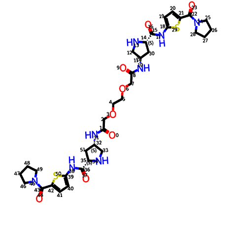 O=C(COCCOCC(=O)N[C@@H]1CN[C@H](C(=O)Nc2ccc(C(=O)N3CCCC3)s2)C1)N[C@@H]1CN[C@H](C(=O)Nc2ccc(C(=O)N3CCCC3)s2)C1